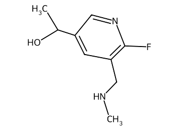 CNCc1cc(C(C)O)cnc1F